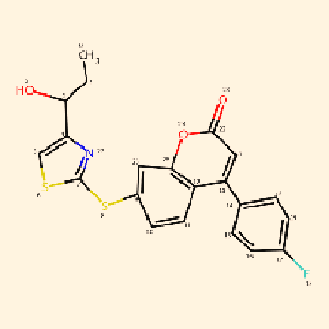 CCC(O)c1csc(Sc2ccc3c(-c4ccc(F)cc4)cc(=O)oc3c2)n1